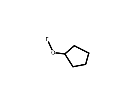 FOC1CCCC1